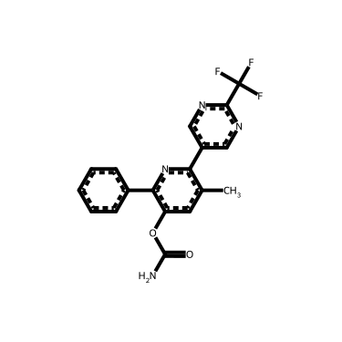 Cc1cc(OC(N)=O)c(-c2ccccc2)nc1-c1cnc(C(F)(F)F)nc1